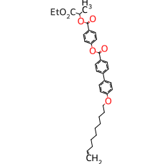 C=CCCCCCCCCOc1ccc(-c2ccc(C(=O)Oc3ccc(C(=O)OC(C)C(=O)OCC)cc3)cc2)cc1